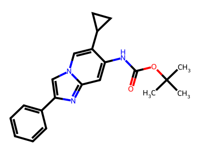 CC(C)(C)OC(=O)Nc1cc2nc(-c3ccccc3)cn2cc1C1CC1